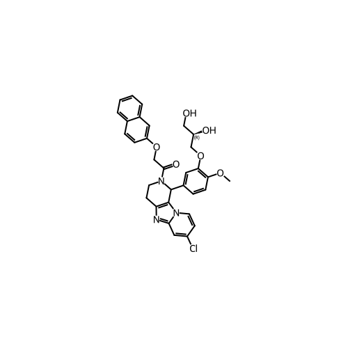 COc1ccc(C2c3c(nc4cc(Cl)ccn34)CCN2C(=O)COc2ccc3ccccc3c2)cc1OC[C@H](O)CO